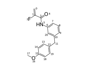 C=C(F)C(=O)Nc1cccc(Cc2ccc(OC)cc2)c1